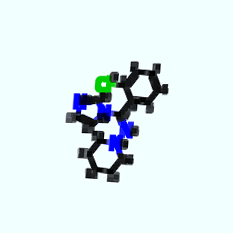 Clc1ccccc1/C(=N/N1CCCCC1)n1ccnc1